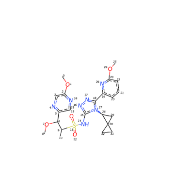 COc1cnc(C(OC)C(C)S(=O)(=O)Nc2nnc(-c3cccc(OC)n3)n2[C@H]2CC23CC3)cn1